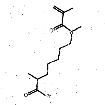 C=C(C)C(=O)N(C)CCCCCC(C)C(=O)C(C)C